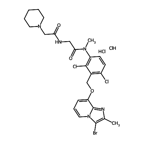 Cc1nc2c(OCc3c(Cl)ccc(N(C)C(=O)CNC(=O)CN4CCCCC4)c3Cl)cccn2c1Br.Cl.Cl